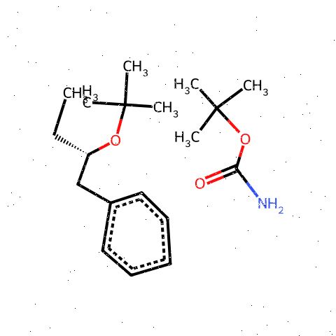 CC(C)(C)OC(N)=O.CC[C@@H](Cc1ccccc1)OC(C)(C)C